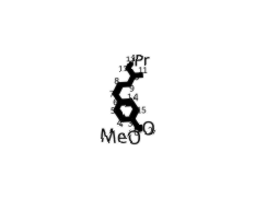 COC(=O)c1ccc(/C=C\CC(C)CC(C)C)cc1